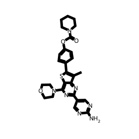 Cc1c(-c2ccc(OC(=O)N3CCCCC3)cc2)sc2c(N3CCOCC3)nc(-c3cnc(N)nc3)nc12